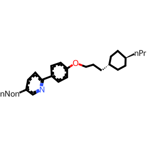 CCCCCCCCCc1ccc(-c2ccc(OCCC[C@H]3CC[C@H](CCC)CC3)cc2)nc1